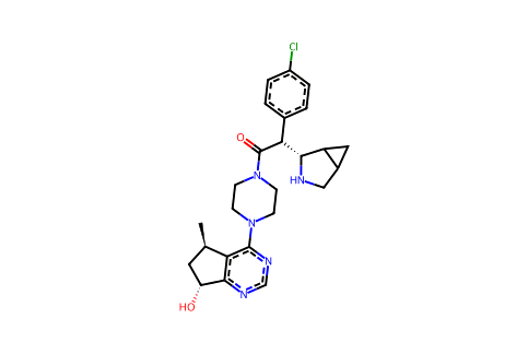 C[C@@H]1C[C@@H](O)c2ncnc(N3CCN(C(=O)C(c4ccc(Cl)cc4)[C@H]4NCC5CC54)CC3)c21